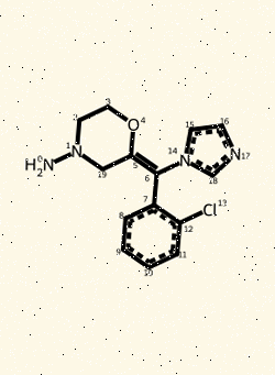 NN1CCOC(=C(c2ccccc2Cl)n2ccnc2)C1